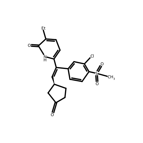 CCc1ccc(C(=C[C@H]2CCC(=O)C2)c2ccc(S(C)(=O)=O)c(Cl)c2)[nH]c1=O